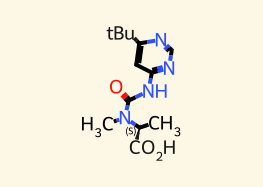 C[C@@H](C(=O)O)N(C)C(=O)Nc1cc(C(C)(C)C)ncn1